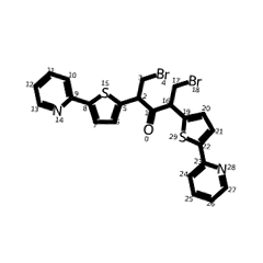 O=C(C(CBr)c1ccc(-c2ccccn2)s1)C(CBr)c1ccc(-c2ccccn2)s1